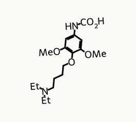 CCN(CC)CCCCOc1c(OC)cc(NC(=O)O)cc1OC